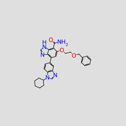 NC(=O)c1c(OCCOCc2ccccc2)cc(-c2ccc3c(c2)ncn3C2CCCCC2)c2nc[nH]c12